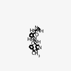 C[C@H](Oc1cncc(C(=O)Nc2nc3c(C(=O)Nc4ncc[nH]4)cccc3[nH]2)c1)c1ccccc1